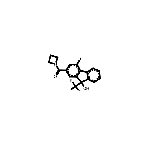 O=C(c1cc(Br)c2c(c1)C(O)(C(F)(F)F)c1ccccc1-2)N1CCC1